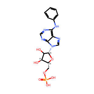 O=P(O)(O)OC[C@H]1O[C@@H](n2cnc3c(Nc4ccccc4)ncnc32)C(O)[C@@H]1O